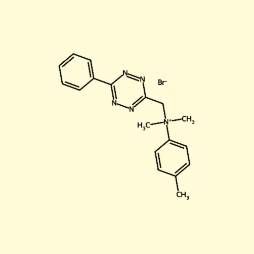 Cc1ccc([N+](C)(C)Cc2nnc(-c3ccccc3)nn2)cc1.[Br-]